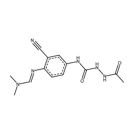 CC(=O)NNC(=O)Nc1ccc(/N=C/N(C)C)c(C#N)c1